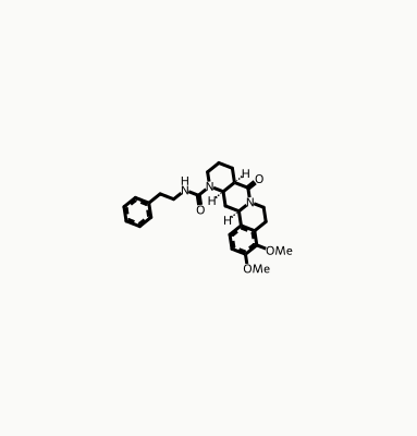 COc1ccc2c(c1OC)CCN1C(=O)[C@@H]3CCCN(C(=O)NCCc4ccccc4)[C@@H]3C[C@H]21